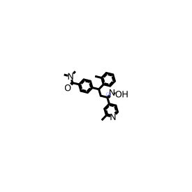 Cc1cc(/C(CC(c2ccc(C(=O)N(C)C)cc2)c2ccccc2C)=N\O)ccn1